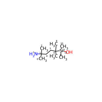 CC(C)(N)CCC(C)(C)[Si](C)(C)O